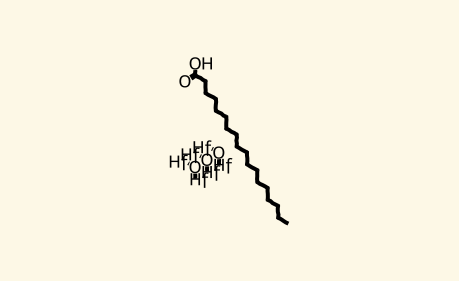 CCCCCCCCCCCCCCCCCC(=O)O.[Hf][O][Hf].[Hf][O][Hf].[Hf][O][Hf]